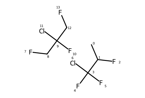 CC(F)C(F)(F)Cl.FCC(F)(Cl)CF